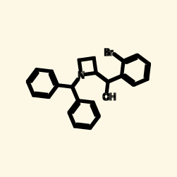 OC(c1ccccc1Br)C1CCN1C(c1ccccc1)c1ccccc1